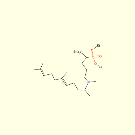 CCOC(=O)C(CCCN(C)C(C)CC/C=C(\C)CCC=C(C)C)P(=O)(OCC)OCC